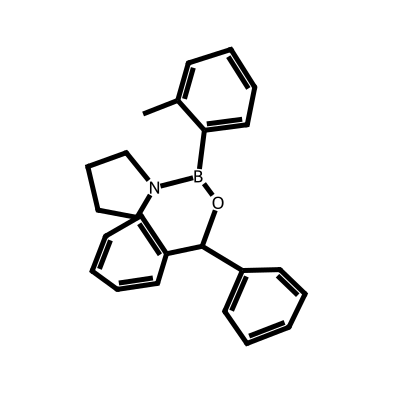 Cc1ccccc1B(OC(c1ccccc1)c1ccccc1)N1CCCC1